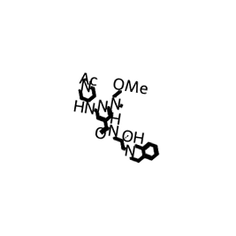 COCCN(C)c1cc(C(=O)NC[C@H](O)CN2CCc3ccccc3C2)cc(NC2CCN(C(C)=O)CC2)n1